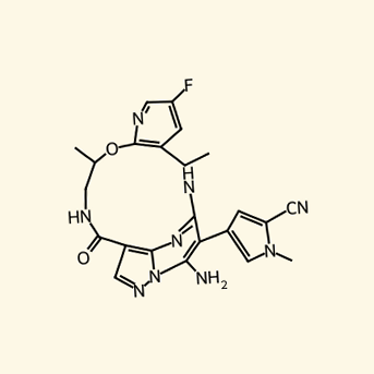 CC1CNC(=O)c2cnn3c(N)c(-c4cc(C#N)n(C)c4)c(nc23)NC(C)c2cc(F)cnc2O1